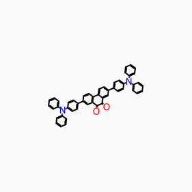 O=C1C(=O)c2cc(-c3ccc(N(c4ccccc4)c4ccccc4)cc3)ccc2-c2ccc(-c3ccc(N(c4ccccc4)c4ccccc4)cc3)cc21